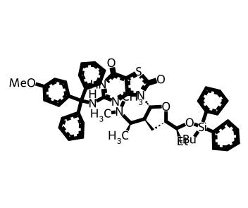 CC[C@H](O[Si](c1ccccc1)(c1ccccc1)C(C)(C)C)[C@@H]1C[C@@H]([C@@H](C)N(C)C)[C@H](n2c(=O)sc3c(=O)[nH]c(NC(c4ccccc4)(c4ccccc4)c4ccc(OC)cc4)nc32)O1